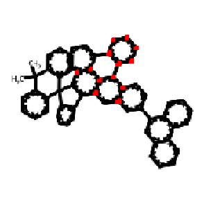 CC1(C)c2ccccc2C2(c3ccccc3-c3cc(N(c4ccc(-c5cc6ccccc6c6ccccc56)cc4)c4ccccc4-c4ccccc4-c4ccccc4-c4ccccc4)ccc32)c2ccccc21